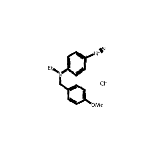 CCN(Cc1ccc(OC)cc1)c1ccc([N+]#N)cc1.[Cl-]